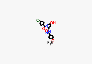 O=C(c1ccc(Cl)cc1)N1C[C@@H](O)C[C@H]1c1nc(-c2ccc(OC(F)(F)F)cc2)no1